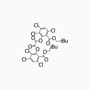 CCC(C)COC(=O)c1c(Cl)cc(Cl)c(Cl)c1OC(=O)C(=O)Oc1c(Cl)c(Cl)cc(Cl)c1C(=O)OCC(C)CC